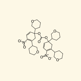 O=C(OC1(C2CCCOC2)C=CC([N+](=O)[O-])=C(C2CCCOC2)C1)OC1(C2CCCOC2)C=CC([N+](=O)[O-])=C(C2CCCOC2)C1